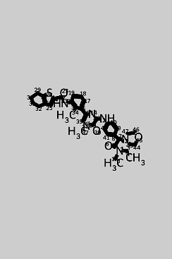 CCN(CC)C(=O)C(c1ccc(Nc2nc(-c3cccc(NC(=O)c4cc5c(s4)CCCC5)c3C)cn(C)c2=O)cc1)N1CCOCC1